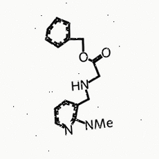 CNc1ncccc1CNCC(=O)OCc1ccccc1